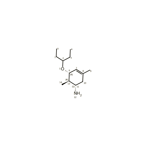 CCC(CC)O[C@@H]1C=C(C)C[C@H](N)[C@H]1C